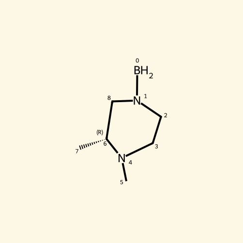 BN1CCN(C)[C@H](C)C1